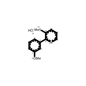 COc1cccc(-c2ncccc2SC)c1.Cl